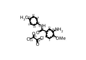 COc1ccc(C(=O)Nc2ccc(C)cc2)cc1N.O=C(Cl)C(=O)Cl